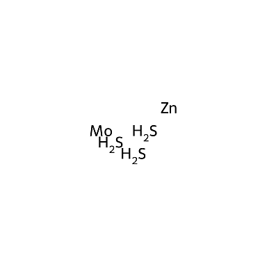 S.S.S.[Mo].[Zn]